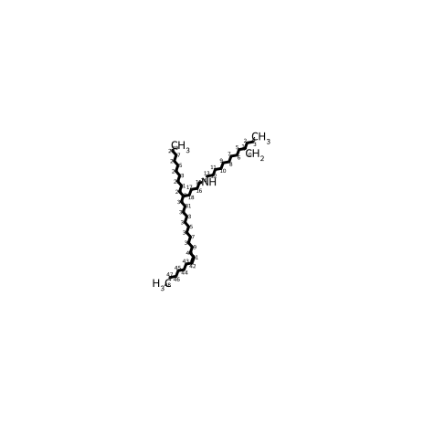 C=C(CCC)CCCCCCCCCNCCCCC(CCCCCCCCCC)CCCCCCCCCCC/C=C\CCCCCC